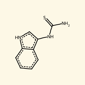 NC(=S)Nc1c[nH]c2ccccc12